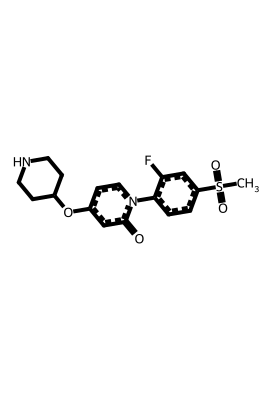 CS(=O)(=O)c1ccc(-n2ccc(OC3CCNCC3)cc2=O)c(F)c1